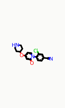 N#Cc1ccc(-n2ccc(OC3CCNCC3)cc2=O)c(Cl)c1